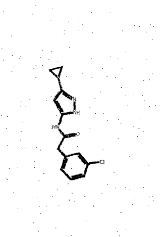 O=C(Cc1cccc(Cl)c1)Nc1cc(C2CC2)n[nH]1